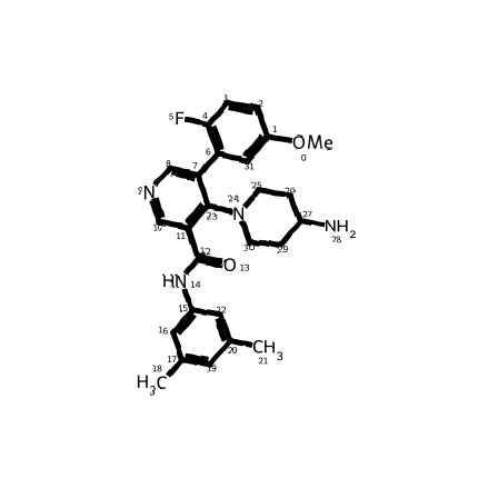 COc1ccc(F)c(-c2cncc(C(=O)Nc3cc(C)cc(C)c3)c2N2CCC(N)CC2)c1